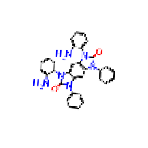 Nc1ccccc1-n1c(=O)n(-c2ccccc2)c2cc3c(cc21)n(-c1ccccc1N)c(=O)n3-c1ccccc1